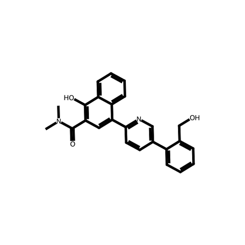 CN(C)C(=O)c1cc(-c2ccc(-c3ccccc3CO)cn2)c2ccccc2c1O